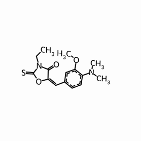 CCN1C(=O)/C(=C\c2ccc(N(C)C)c(OC)c2)OC1=S